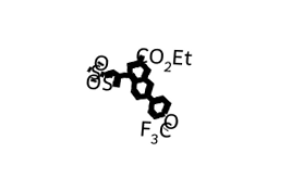 CCOC(=O)c1cc(-c2csc(S(C)(=O)=O)c2)c2ccc(-c3ccc(OC(F)(F)F)cc3)cc2c1